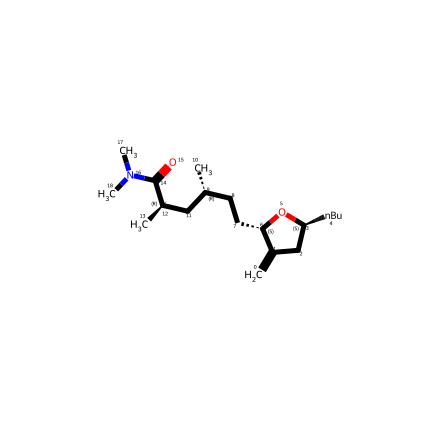 C=C1C[C@H](CCCC)O[C@H]1CC[C@@H](C)C[C@@H](C)C(=O)N(C)C